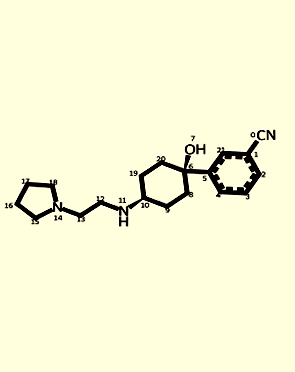 N#Cc1cccc([C@]2(O)CC[C@@H](NCCN3CCCC3)CC2)c1